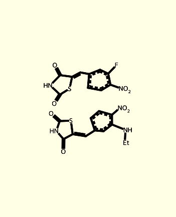 CCNc1cc(/C=C2\SC(=O)NC2=O)ccc1[N+](=O)[O-].O=C1NC(=O)/C(=C/c2ccc([N+](=O)[O-])c(F)c2)S1